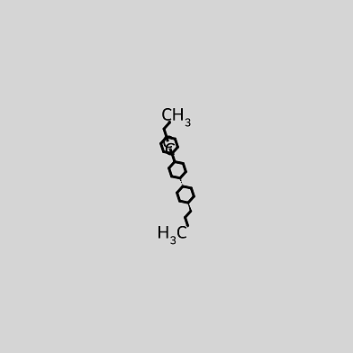 CCCC[C@H]1CC[C@H](C2CCC(C34CCC(CCC)(CC3)CC4)CC2)CC1